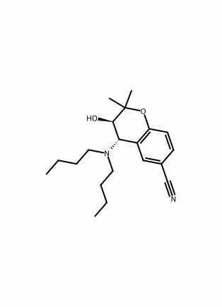 CCCCN(CCCC)[C@H]1c2cc(C#N)ccc2OC(C)(C)[C@@H]1O